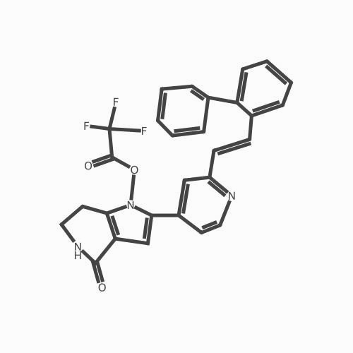 O=C1NCCc2c1cc(-c1ccnc(C=Cc3ccccc3-c3ccccc3)c1)n2OC(=O)C(F)(F)F